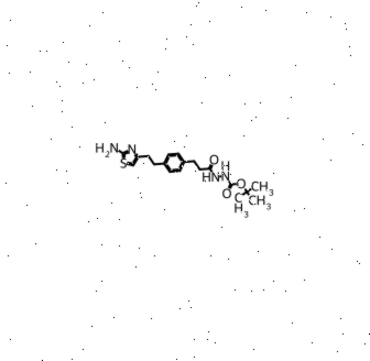 CC(C)(C)OC(=O)NNC(=O)CCc1ccc(CCc2csc(N)n2)cc1